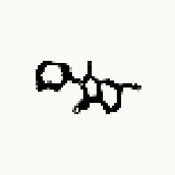 O=C1c2ccc(F)cc2C(=O)N1c1ccccc1